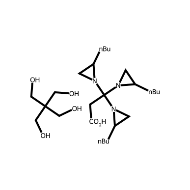 CCCCC1CN1C(CC(=O)O)(N1CC1CCCC)N1CC1CCCC.OCC(CO)(CO)CO